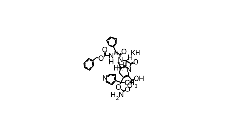 CC(OC(N)=O)(C1=C(C(=O)O)N2C(=O)[C@@H]3[C@H]2[C@H](C1)CN3C(=O)[C@H](NC(=O)OCc1ccccc1)c1ccccc1)c1ccncc1.[KH]